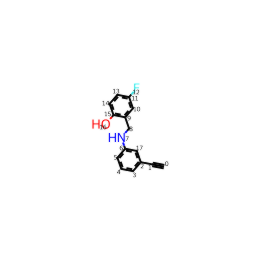 C#Cc1cccc(NCc2cc(F)ccc2O)c1